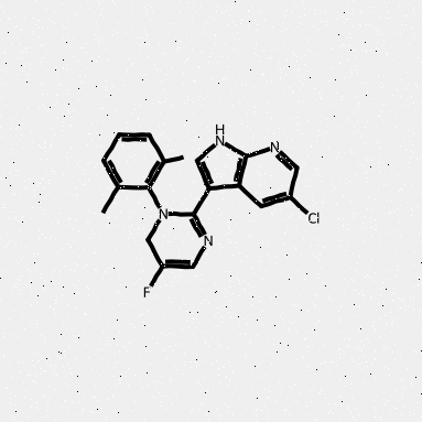 Cc1cccc(C)c1N1CC(F)=CN=C1c1c[nH]c2ncc(Cl)cc12